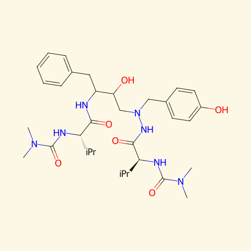 CC(C)[C@H](NC(=O)N(C)C)C(=O)NC(Cc1ccccc1)C(O)CN(Cc1ccc(O)cc1)NC(=O)[C@@H](NC(=O)N(C)C)C(C)C